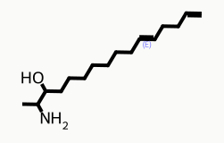 C=CCC/C=C/CCCCCCCC(O)C(C)N